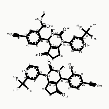 CN1C(=O)N(c2ccnc(C(F)(F)F)c2)C2=C(C(=O)CC2)C1c1ccc(C#N)cc1Br.COC(=O)c1cc(C#N)ccc1C1C2=C(CCC2=O)N(c2ccnc(C(F)(F)F)c2)C(=O)N1C